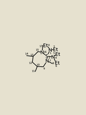 CCN(CC)S1(N(CC)CC)N(C)CC(C)CC(C)CN1C